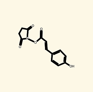 O=C(/C=C/c1ccc(O)cc1)ON1C(=O)CCC1=O